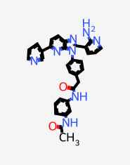 CC(=O)Nc1cccc(NC(=O)Cc2ccc(-n3c(-c4cccnc4N)nc4ccc(-c5cccnc5)nc43)cc2)c1